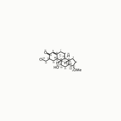 CO[C@@H]1CC[C@H]2[C@@H]3CCC4=CC(=O)C(CCl)C[C@]4(C)[C@H]3[C@@H](O)C[C@]12C